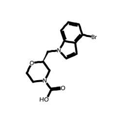 O=C(O)N1CCO[C@@H](Cn2ccc3c(Br)cccc32)C1